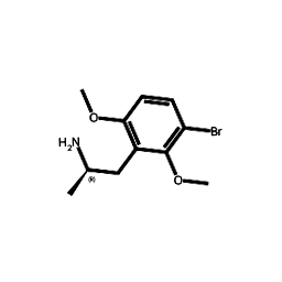 COc1ccc(Br)c(OC)c1C[C@@H](C)N